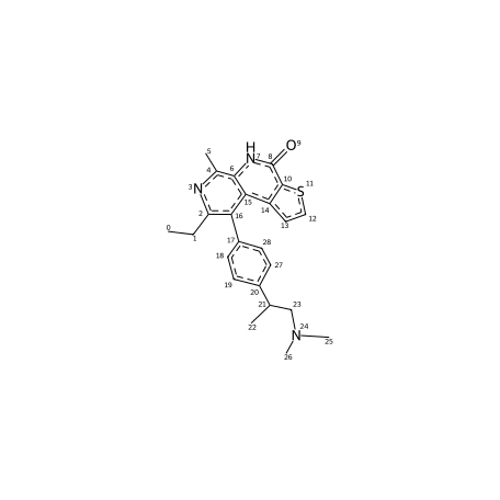 CCc1nc(C)c2[nH]c(=O)c3sccc3c2c1-c1ccc(C(C)CN(C)C)cc1